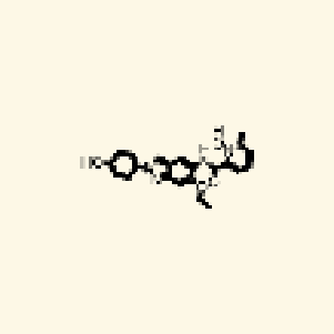 CCOc1cc2nn(C3CCC(O)CC3)cc2cc1NC(=O)c1cccc(C)[n+]1O